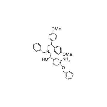 COc1ccc(C(CN(Cc2ccccc2)C[C@H](O)c2ccc(OCc3ccccc3)c(N)c2)c2ccc(OC)cc2)cc1